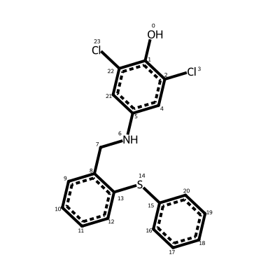 Oc1c(Cl)cc(NCc2ccccc2Sc2ccccc2)cc1Cl